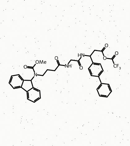 COC(=O)N(CCCC(=O)NCC(=O)NC(CC(=O)OC(=O)C(F)(F)F)c1ccc(-c2ccccc2)cc1)C1c2ccccc2-c2ccccc21